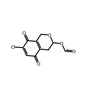 O=COC1CC2=C(CO1)C(=O)C(Cl)=CC2=O